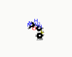 Cc1nnccc1Oc1cc(Sc2ccccc2)cnc1N